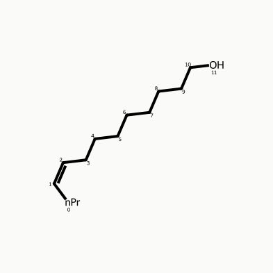 CCC/C=C\CCCCCCCCO